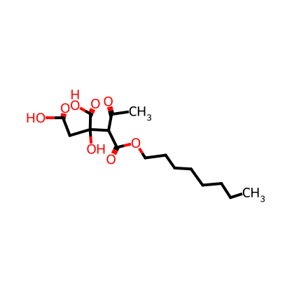 CCCCCCCCOC(=O)C(C(C)=O)C(O)(CC(=O)O)C(=O)O